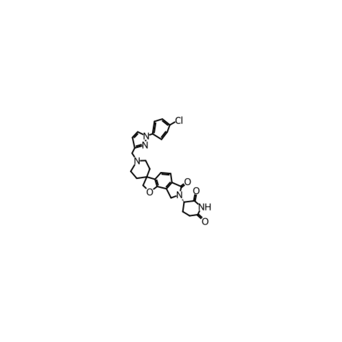 O=C1CC[C@H](N2Cc3c(ccc4c3OCC43CCN(Cc4ccn(-c5ccc(Cl)cc5)n4)CC3)C2=O)C(=O)N1